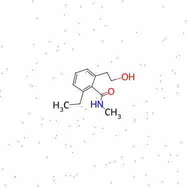 CCc1cccc(CCO)c1C(=O)NC